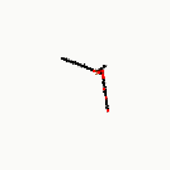 [CH2]CCCc1cc(SCCCCCCCCCCCCCCCCCCCCCCCC)cc(SCCCCCCCCCCCCCCCCCCCCCCCC)c1